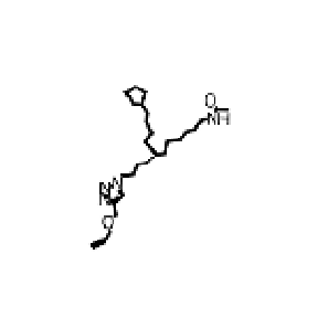 C#CCOCc1cn(CCCC[C@H](CCCCCCNC(C)=O)CCCCC2CCCC2)nn1